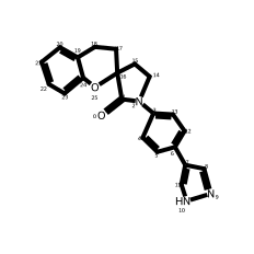 O=C1N(c2ccc(-c3cn[nH]c3)cc2)CCC12CCc1ccccc1O2